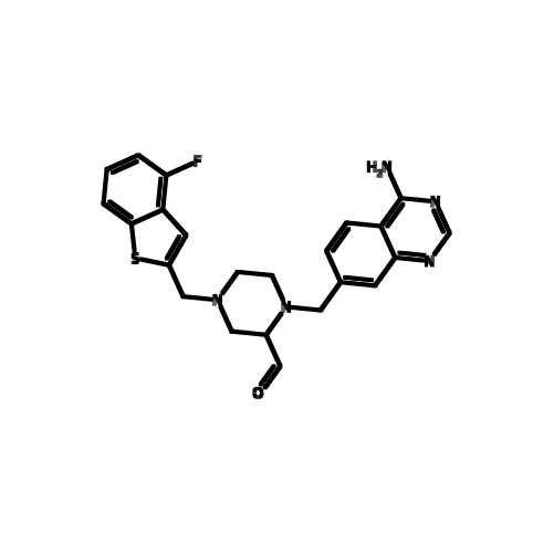 Nc1ncnc2cc(CN3CCN(Cc4cc5c(F)cccc5s4)CC3C=O)ccc12